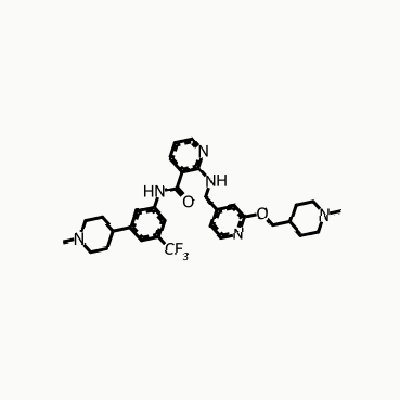 CN1CCC(COc2cc(CNc3ncccc3C(=O)Nc3cc(C4CCN(C)CC4)cc(C(F)(F)F)c3)ccn2)CC1